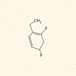 CCC1=C(F)CC(F)C=C1